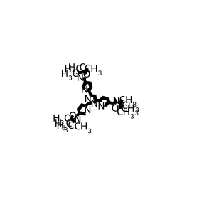 CC1(C)N=C(c2ccc(-c3cc(-c4ccc(C5=NC(C)(C)C(C)(C)O5)cn4)nc(-c4ccc(C5=NC(C)(C)C(C)(C)O5)cn4)n3)nc2)OC1(C)C